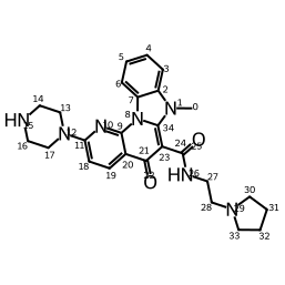 Cn1c2ccccc2n2c3nc(N4CCNCC4)ccc3c(=O)c(C(=O)NCCN3CCCC3)c12